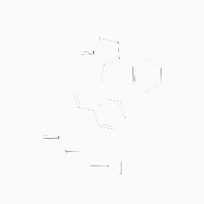 C=C(C)C(=O)OCC1CO1.C=Cc1ccccc1.O=C1NC(=O)C([N+](=O)[O-])=C1c1ccccc1